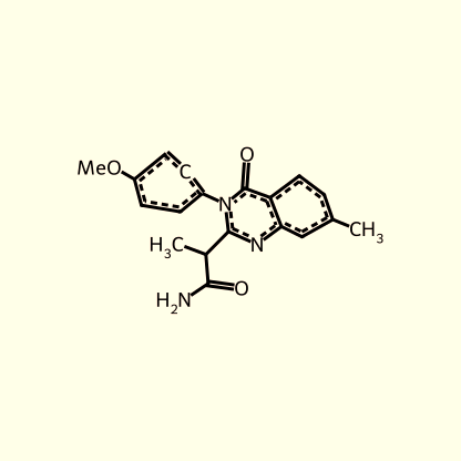 COc1ccc(-n2c(C(C)C(N)=O)nc3cc(C)ccc3c2=O)cc1